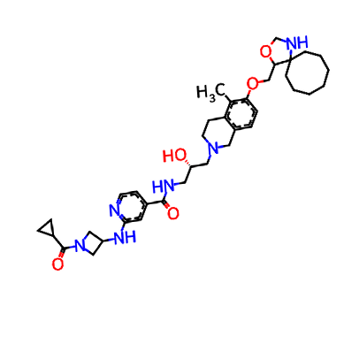 Cc1c(OCC2OCNC23CCCCCCC3)ccc2c1CCN(C[C@@H](O)CNC(=O)c1ccnc(NC3CN(C(=O)C4CC4)C3)c1)C2